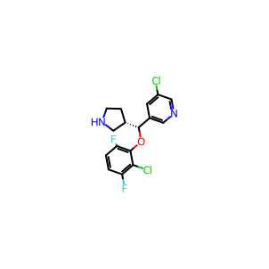 Fc1ccc(F)c(OC(c2cncc(Cl)c2)[C@H]2CCNC2)c1Cl